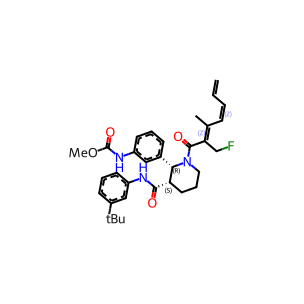 C=C/C=C\C(C)=C(/CF)C(=O)N1CCC[C@H](C(=O)Nc2cccc(C(C)(C)C)c2)[C@@H]1c1cccc(NC(=O)OC)c1